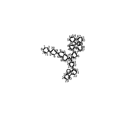 c1ccc(-c2ccc(-c3ccc4cc(N(c5ccc(-c6cccc7c6oc6ccccc67)cc5)c5cccc(-c6cccc7c6-c6ccccc6C7(c6ccccc6)c6ccccc6)c5)ccc4c3)cc2)cc1